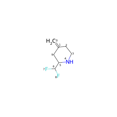 C=C1CCNC(C(F)F)C1